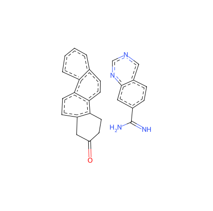 N=C(N)c1ccc2cncnc2c1.O=C1CCc2c(ccc3c2ccc2ccccc23)C1